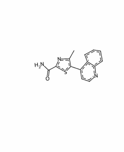 Cc1nc(C(N)=O)sc1-c1ccnc2ccccc12